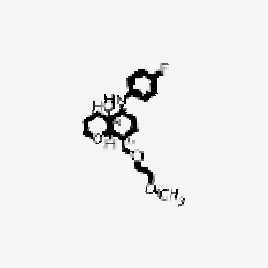 COCCOC[C@@H]1CC[C@H](Nc2ccc(F)cc2)[C@]2(O)CCCO[C@H]12